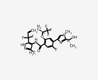 C=CC(F)(F)c1[nH]nc(C)c1NC(=O)c1cc(F)c(-c2cn(C)c([C@@H](C)O)n2)cc1O[C@@H](C)C(F)(F)F